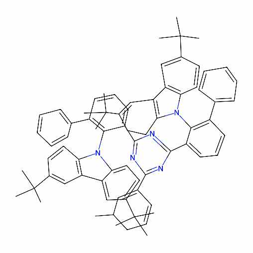 CC1C=C(c2nc(-c3cccc(-c4ccccc4)c3-n3c4c(c5cc(C(C)(C)C)ccc53)C=C(C(C)(C)C)CC4)nc(-c3cccc(-c4ccccc4)c3-n3c4ccc(C(C)(C)C)cc4c4cc(C(C)(C)C)ccc43)n2)C=CC1